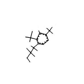 Bc1c(C(F)(F)F)ccc(C(B)(B)C(C)(C)CC)c1C(C)(C)C